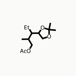 CCC(C(C)COC(C)=O)C1COC(C)(C)O1